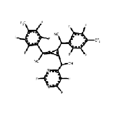 N#C/C(=C1C(C(C#N)c2nc(F)nc(F)c2F)=C\1C(C#N)c1c(F)c(F)c(C(F)(F)F)c(F)c1F)c1c(F)c(F)c(C(F)(F)F)c(F)c1F